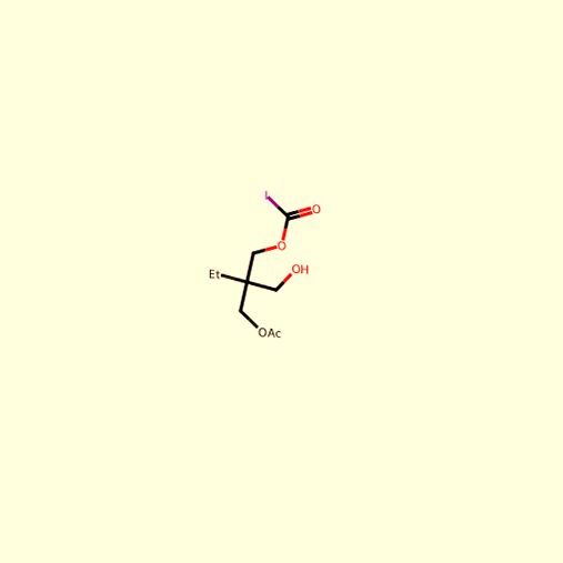 CCC(CO)(COC(C)=O)COC(=O)I